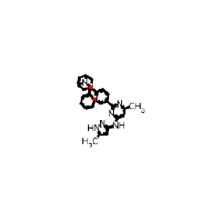 Cc1cc(Nc2cc(C)[nH]n2)nc(-c2ccc(N3CC4CC(C3)N4Cc3ccccc3)nc2)n1